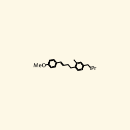 COc1ccc(C=CCCc2ccc(CC(C)C)cc2C)cc1